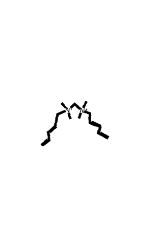 C=C/C=C/C[N+](C)(C)C[N+](C)(C)C/C=C/C=C